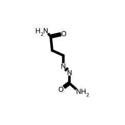 NC(=O)CCN=NC(N)=O